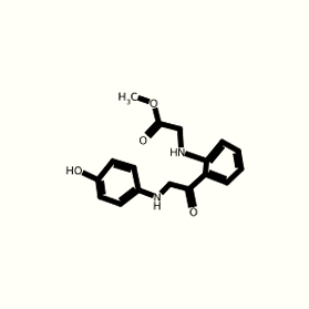 COC(=O)CNc1ccccc1C(=O)CNc1ccc(O)cc1